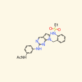 CCS(=O)(=O)Nc1ccccc1Cn1ccc2cnc(Nc3cccc(NC(C)=O)c3)nc21